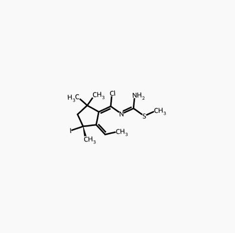 C\C=C1/C(=C(Cl)\N=C(/N)SC)C(C)(C)C[C@@]1(C)I